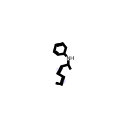 C/C=C\C=C/C(C)NC1C=CC=CC1